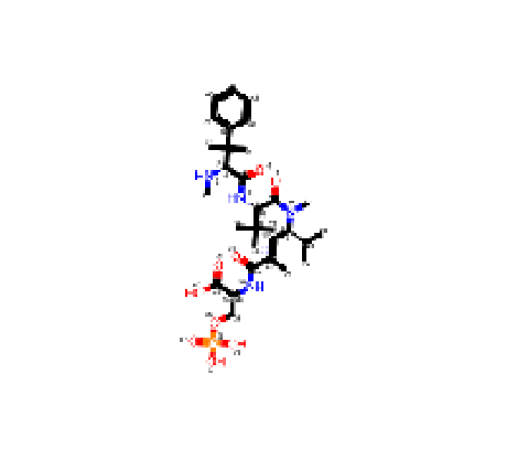 CN[C@H](C(=O)N[C@H](C(=O)N(C)[C@H](/C=C(\C)C(=O)N[C@@H](COP(=O)(O)O)C(=O)O)C(C)C)C(C)(C)C)C(C)(C)c1ccccc1